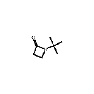 CC(C)(C)N1CCC1=O